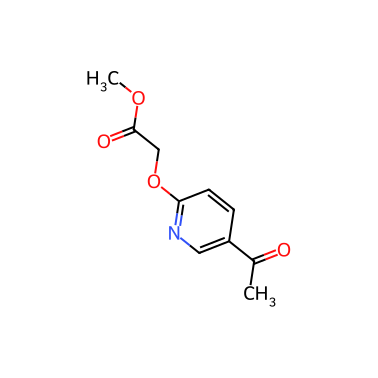 COC(=O)COc1ccc(C(C)=O)cn1